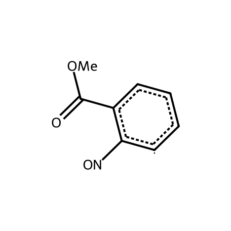 COC(=O)c1ccc[c]c1N=O